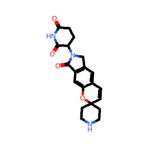 O=C1CCC(N2Cc3cc4c(cc3C2=O)OC2(C=C4)CCNCC2)C(=O)N1